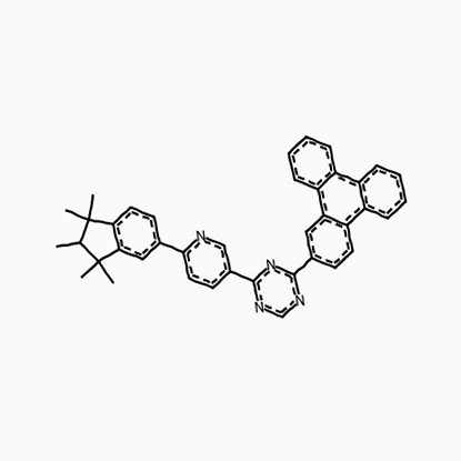 CC1C(C)(C)c2ccc(-c3ccc(-c4ncnc(-c5ccc6c7ccccc7c7ccccc7c6c5)n4)cn3)cc2C1(C)C